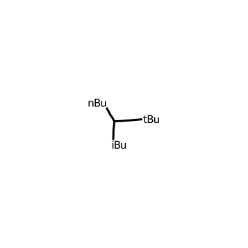 [CH2]CCCC(C(C)CC)C(C)(C)C